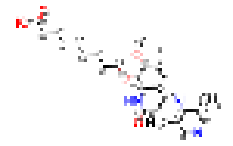 COc1ccc2c(Nc3c(C)cncc3C)cc(=O)[nH]c2c1OCCCCCCCCC(=O)O